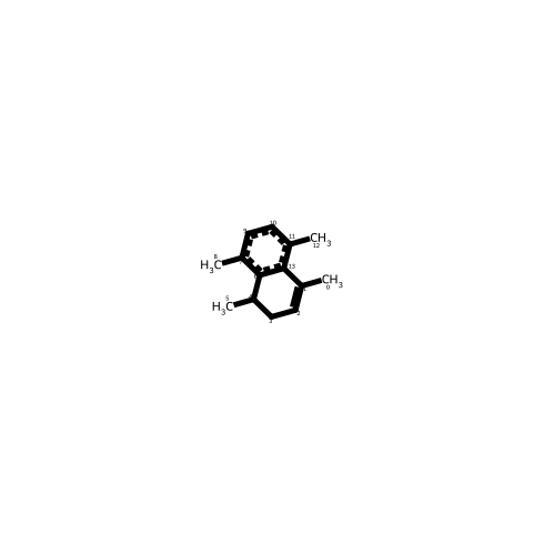 CC1=CCC(C)c2c(C)ccc(C)c21